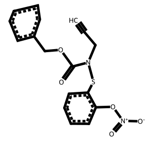 C#CCN(Sc1ccccc1O[N+](=O)[O-])C(=O)OCc1ccccc1